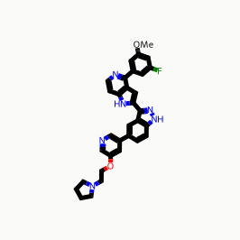 COc1cc(F)cc(-c2nccc3[nH]c(-c4n[nH]c5ccc(-c6cncc(OCCN7CCCC7)c6)cc45)cc23)c1